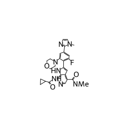 CNC(=O)c1cnc(NC(=O)C2CC2)c2[nH]c(-c3c(F)cc(-c4nccn4C)cc3N3CCOCC3)cc12